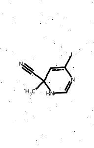 CC1(C#N)C=C(I)N=CN1